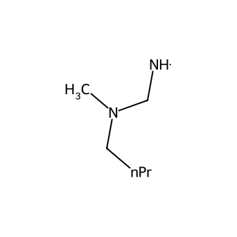 CCCCN(C)C[NH]